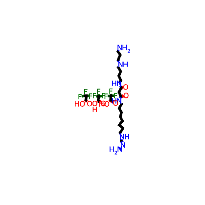 NCCCNCCCCNC(=O)CC(=O)NCCCCCCCCNC=NN.O=C(O)C(F)(F)F.O=C(O)C(F)(F)F.O=C(O)C(F)(F)F